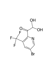 O=C(c1ncc(Br)cc1C(F)(F)F)C(O)O